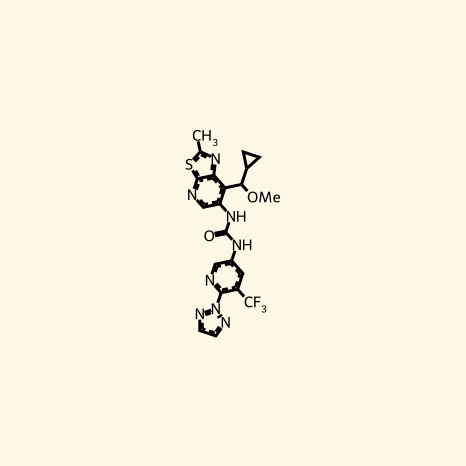 COC(c1c(NC(=O)Nc2cnc(-n3nccn3)c(C(F)(F)F)c2)cnc2sc(C)nc12)C1CC1